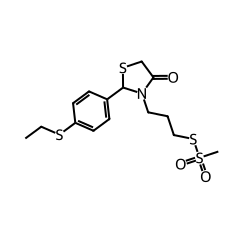 CCSc1ccc(C2SCC(=O)N2CCCSS(C)(=O)=O)cc1